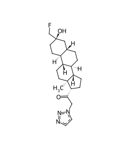 C[C@]12CC[C@H]3[C@@H](CC[C@H]4C[C@@](O)(CF)CC[C@@H]43)[C@@H]1CC[C@@H]2C(=O)Cn1ccnn1